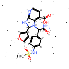 CS(=O)(=O)Nc1ccc(C(C(N)=O)N2c3c(C(=O)O)ccnc3NC2c2ccoc2)cc1